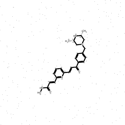 C[C@@H]1CN(Cc2ccc(C(=O)C=Cc3cccc(C=CC(=O)NO)n3)cc2)C[C@H](C)N1